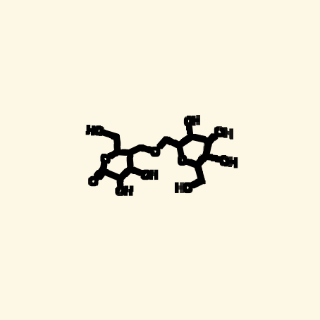 O=C1OC(CO)C(COCC2OC(CO)C(O)C(O)C2O)C(O)C1O